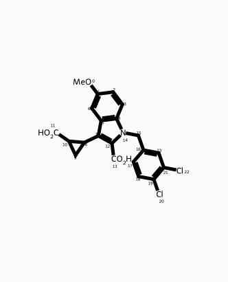 COc1ccc2c(c1)c(C1CC1C(=O)O)c(C(=O)O)n2Cc1ccc(Cl)c(Cl)c1